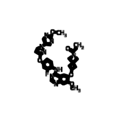 C=CC(=O)N1CC2(CC(Oc3cc4c(Nc5ccc(Oc6ccn(-c7cnc(OC)nc7)n6)cc5F)ncnc4cc3OC)C2)C1